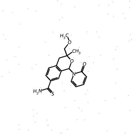 COCC1(C)Cc2ccc(C(N)=S)cc2C(n2ccccc2=O)O1